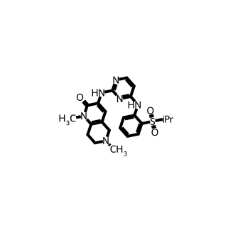 CC(C)S(=O)(=O)c1ccccc1Nc1ccnc(Nc2cc3c(n(C)c2=O)CCN(C)C3)n1